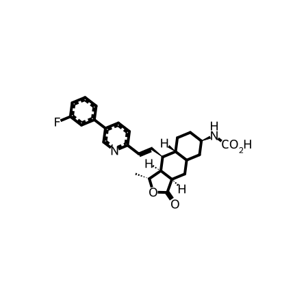 C[C@H]1OC(=O)[C@@H]2CC3C[C@H](NC(=O)O)CC[C@H]3[C@H](/C=C/c3ccc(-c4cccc(F)c4)cn3)[C@H]12